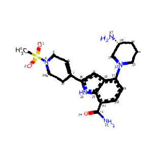 CS(=O)(=O)N1CC=C(c2cc3c(N4CCC[C@@H](N)C4)ccc(C(N)=O)c3[nH]2)CC1